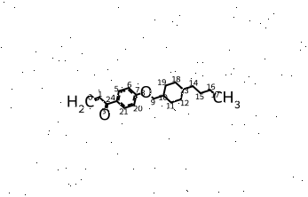 C=CC(=O)c1ccc(OCC2CCC(CCCC)CC2)cc1